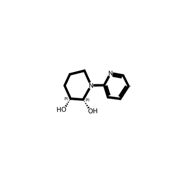 O[C@@H]1CCCN(c2cc[c]cn2)[C@@H]1O